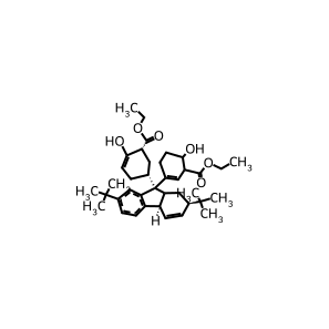 CCOC(=O)C1C=C(C2([C@@H]3CC=C(O)[C@H](C(=O)OCC)C3)c3cc(C(C)(C)C)ccc3[C@@H]3C=C[C@H](C(C)(C)C)CC32)CCC1O